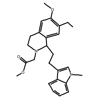 CCc1cc2c(cc1OC)CCN(CC(=O)OC)C2CCc1cn(C)c2ccccc12